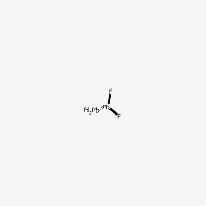 [F][Pb][F].[PbH2]